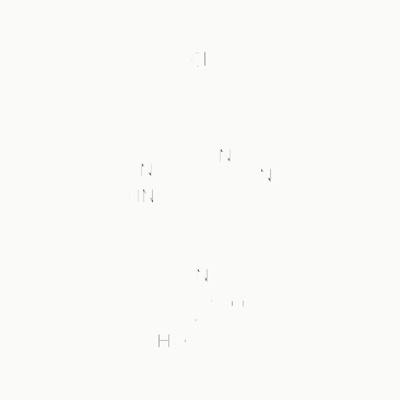 CC(C)(O)C(=O)N1CCC(c2[nH]nc(-c3ccc(Cl)cc3)c2-c2ccncn2)CC1